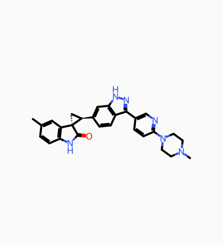 Cc1ccc2c(c1)[C@]1(C[C@H]1c1ccc3c(-c4ccc(N5CCN(C)CC5)nc4)n[nH]c3c1)C(=O)N2